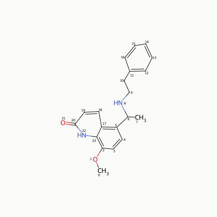 COc1ccc(C(C)NCCc2ccccc2)c2ccc(=O)[nH]c12